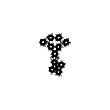 c1ccc(N(c2ccccc2)c2ccc(-c3cc4c(cc3-c3ccc(N(c5ccccc5)c5ccccc5)cc3)Oc3cc5c(cc3O4)-c3ccccc3C53c4ccccc4-c4ccccc43)cc2)cc1